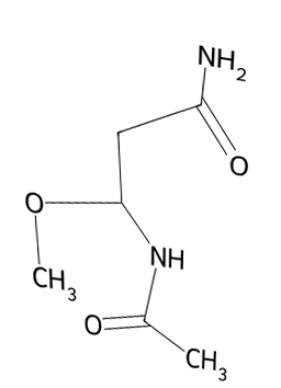 COC(CC(N)=O)NC(C)=O